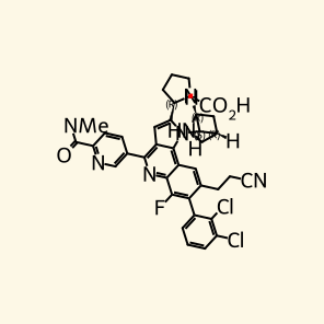 CNC(=O)c1ccc(-c2nc3c(F)c(-c4cccc(Cl)c4Cl)c(CCC#N)cc3c3c2cc([C@H]2CCCN2C(=O)O)n3[C@H]2[C@H]3CN[C@@H]2C3)cn1